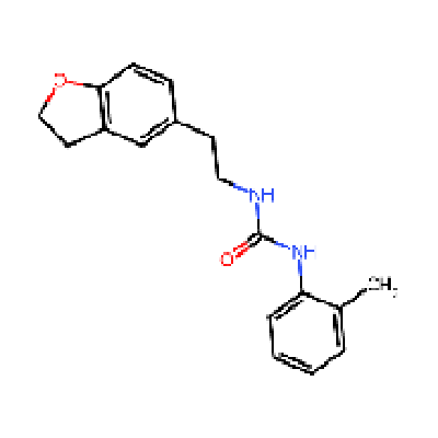 Cc1ccccc1NC(=O)NCCc1ccc2c(c1)CCO2